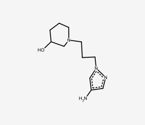 Nc1cnn(CCCN2CCCC(O)C2)c1